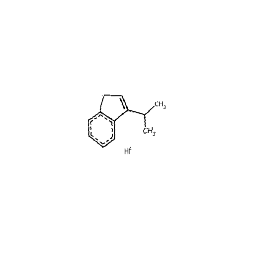 CC(C)C1=C[CH]c2ccccc21.[Hf]